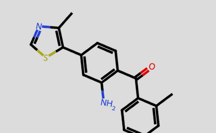 Cc1ccccc1C(=O)c1ccc(-c2scnc2C)cc1N